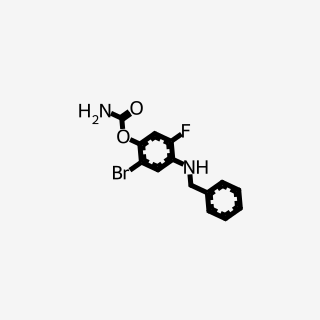 NC(=O)Oc1cc(F)c(NCc2ccccc2)cc1Br